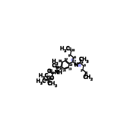 C=CCC/C(C)=N/C(=C/CCC)c1ccc([C@H](C)NC(=O)OC(C)(C)C)cc1